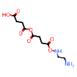 NCCNOC(=O)CCC(=O)OC(=O)CCC(=O)O